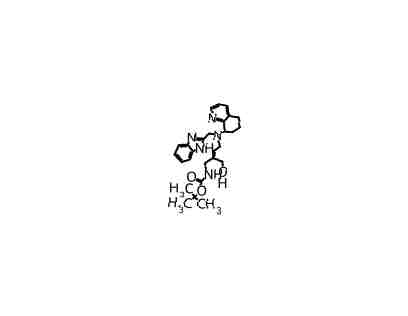 CC(C)(C)OC(=O)NC/C(=C/CN(Cc1nc2ccccc2[nH]1)C1CCCc2cccnc21)CO